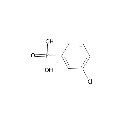 O=P(O)(O)c1[c]ccc(Cl)c1